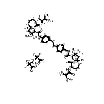 CNC(C)C(=O)N[C@H]1CCS[C@H]2CC(C)(C)[C@@H](C(=O)Nc3ccc(CCc4ccc(NC(=O)[C@H]5N6C(=O)[C@@H](NC(=O)C(C)NC)CCS[C@H]6CC5(C)C)cc4)cc3)N2C1=O.O=C(O)C(F)(F)F.O=C(O)C(F)(F)F